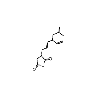 C=CC(C=CCC1CC(=O)OC1=O)CC(C)C